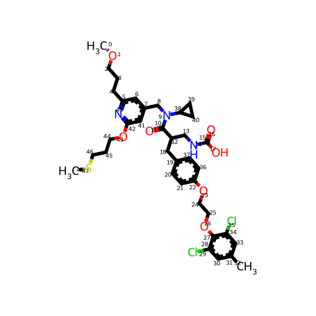 COCCCc1cc(CN(C(=O)C(CNC(=O)O)Cc2ccc(OCCOc3c(Cl)cc(C)cc3Cl)cc2)C2CC2)cc(OCCCSC)n1